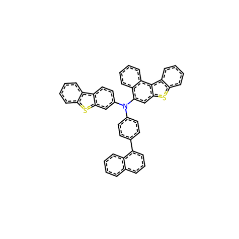 c1ccc2c(-c3ccc(N(c4ccc5c(c4)sc4ccccc45)c4cc5sc6ccccc6c5c5ccccc45)cc3)cccc2c1